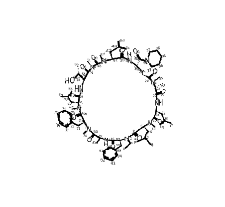 CCN1C(=O)[C@H](CC(C)C)N(C)C(=O)[C@H](CC(C)C)NC(=O)[C@@H](C)N(C)C(=O)C[C@@H](C(=O)N2CCCCC2)NC(=O)[C@H](CC(C)C)N(C)C(=O)N(C)C(=O)[C@H]([C@@H](C)O)NC(=O)[C@H](CC(C)C)N(C)C(=O)[C@H](Cc2ccccc2)N(C)C(=O)C(C)NC(=O)[C@@H]1Cc1ccccc1